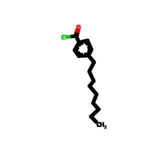 CCCCCCCCCc1ccc(C(=O)Cl)cc1